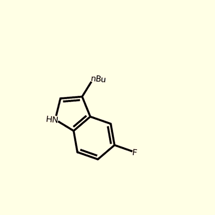 [CH2]CCCc1c[nH]c2ccc(F)cc12